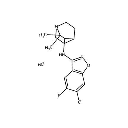 CC1(C)C(Nc2noc3cc(Cl)c(F)cc23)C2CCN1CC2.Cl